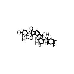 CN(c1ccc2c(c1N)C(=O)N(C1CCC(=O)NC1=O)C2=O)[C@H]1CCCC[C@@H]1NC1CCC(F)(F)CC1